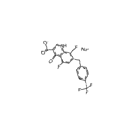 O=C([O-])c1c[nH]c2c(F)c(Cc3ccc(C(F)(F)F)cc3)cc(F)c2c1=O.[Na+]